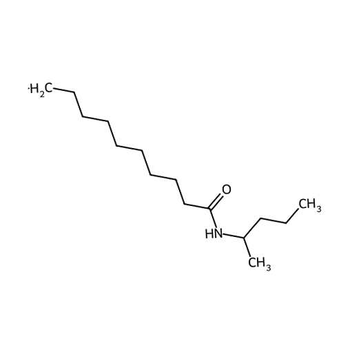 [CH2]CCCCCCCCC(=O)NC(C)CCC